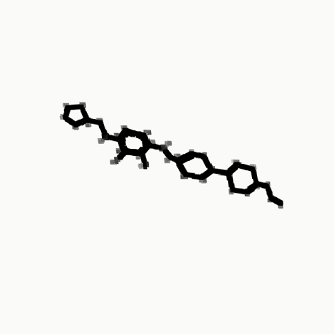 CCCC1CCC(C2CC=C(COc3ccc(OCC4CCCC4)c(F)c3F)CC2)CC1